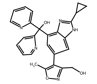 Cc1onc(CO)c1-c1cc(C(O)(c2ccccn2)c2ccccn2)c2nc(C3CC3)[nH]c2c1